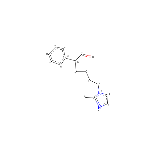 Cc1nccn1CCCCC([C]=O)c1ccccc1